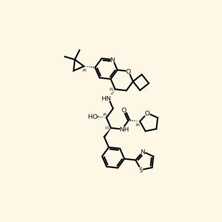 CC1(C)C[C@H]1c1cnc2c(c1)[C@@H](NC[C@@H](O)[C@H](Cc1cccc(-c3nccs3)c1)NC(=O)[C@H]1CCCO1)CC1(CCC1)O2